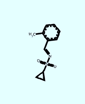 Cc1ccccc1C=NS(=O)(=O)C1CC1